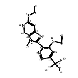 CCSc1cc2nc(-c3ncc(C(F)(F)F)cc3SCC)n(C)c2cn1